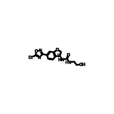 CCc1nc(-c2ccc3c(c2)OC[C@H]3NC(=O)NCCO)no1